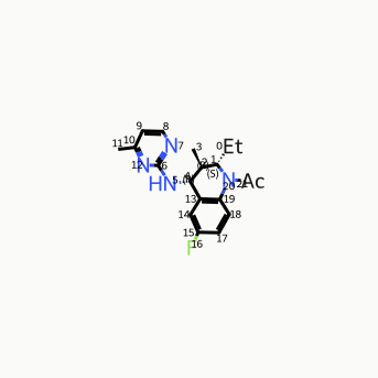 CC[C@H]1[C@H](C)[C@@H](Nc2nccc(C)n2)c2cc(F)ccc2N1C(C)=O